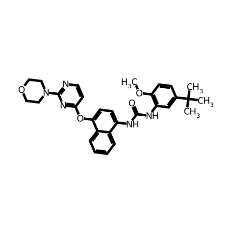 COc1ccc(C(C)(C)C)cc1NC(=O)Nc1ccc(Oc2ccnc(N3CCOCC3)n2)c2ccccc12